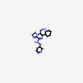 NCC1=C(c2ccccc2)N=C(NCc2cccnc2)C2=NCCN21